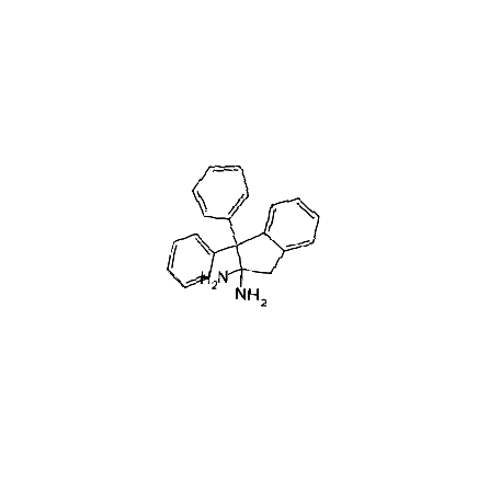 NC1(N)Cc2ccccc2C1(c1ccccc1)c1ccccc1